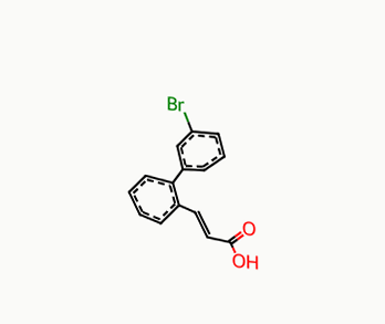 O=C(O)C=Cc1ccccc1-c1cccc(Br)c1